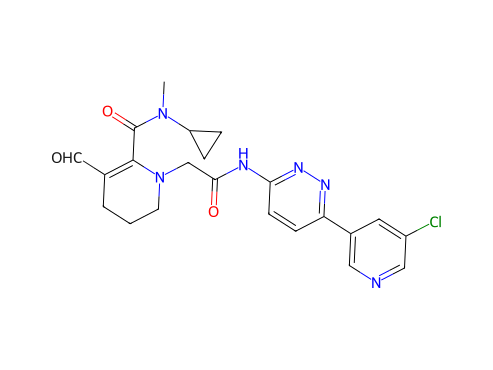 CN(C(=O)C1=C(C=O)CCCN1CC(=O)Nc1ccc(-c2cncc(Cl)c2)nn1)C1CC1